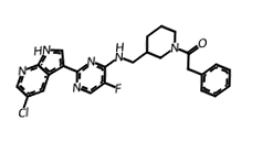 O=C(Cc1ccccc1)N1CCCC(CNc2nc(-c3c[nH]c4ncc(Cl)cc34)ncc2F)C1